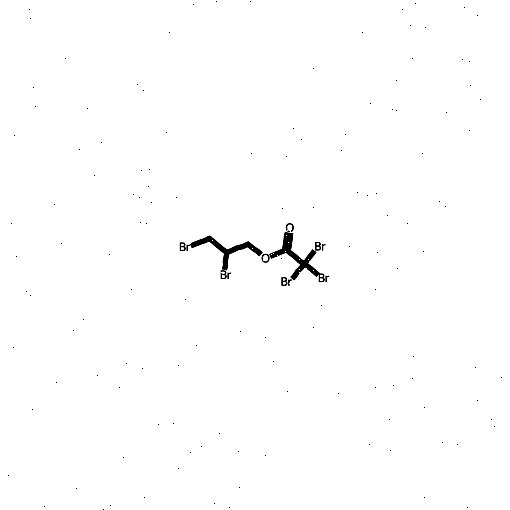 O=C(OCC(Br)CBr)C(Br)(Br)Br